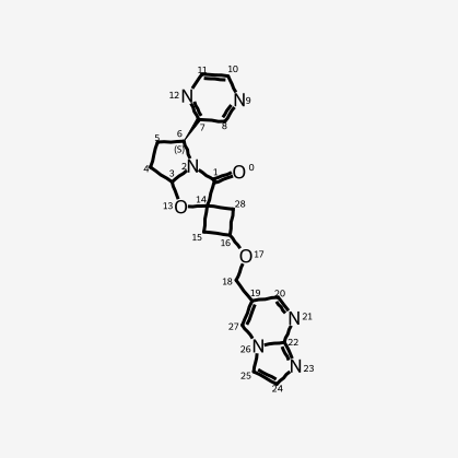 O=C1N2C(CC[C@H]2c2cnccn2)OC12CC(OCc1cnc3nccn3c1)C2